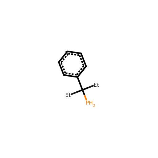 CCC(P)(CC)c1cc[c]cc1